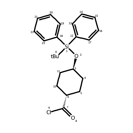 CC(C)(C)[Si](O[C@H]1CC[C@H](C(=O)Cl)CC1)(c1ccccc1)c1ccccc1